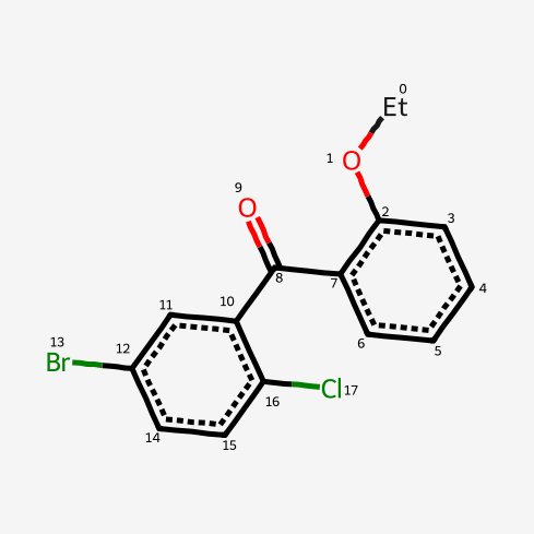 CCOc1ccccc1C(=O)c1cc(Br)ccc1Cl